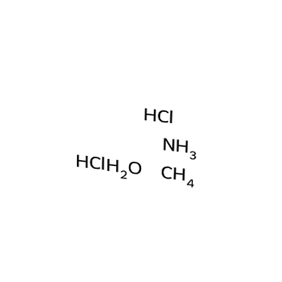 C.Cl.Cl.N.O